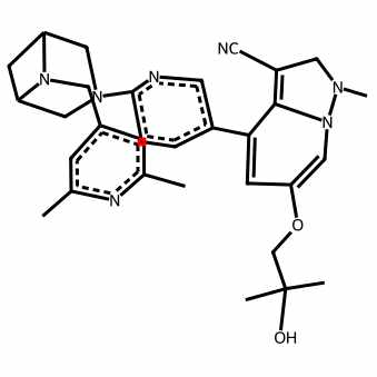 Cc1cc(CN2C3CC2CN(c2ccc(C4=CC(OCC(C)(C)O)=CN5C4=C(C#N)CN5C)cn2)C3)cc(C)n1